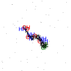 O=C(CCCNC(=O)c1cc(Oc2ccc(NC(=O)Nc3ccc(Cl)c(C(F)(F)F)c3)cc2)ccn1)NO